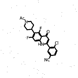 CC(=O)N1CCC(c2c(F)cc3[nH]c(-c4cc(C#N)ccc4Cl)cc(=O)c3c2F)CC1